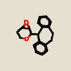 c1ccc2c(c1)CCc1ccccc1C2C1OCCC2OC21